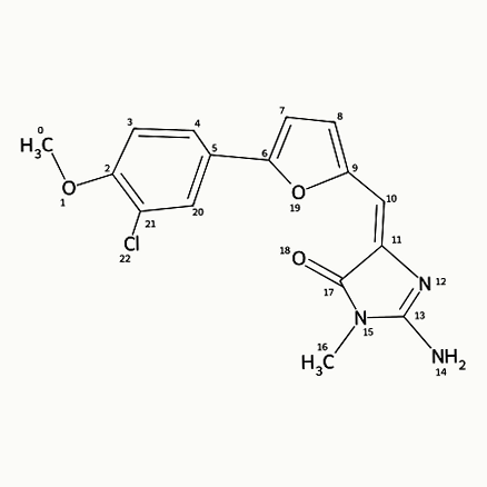 COc1ccc(-c2ccc(C=C3N=C(N)N(C)C3=O)o2)cc1Cl